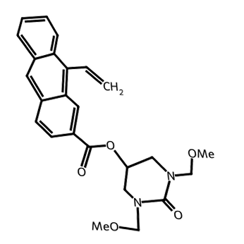 C=Cc1c2ccccc2cc2ccc(C(=O)OC3CN(COC)C(=O)N(COC)C3)cc12